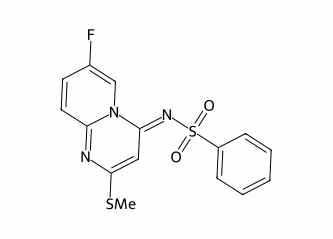 CSc1cc(=NS(=O)(=O)c2ccccc2)n2cc(F)ccc2n1